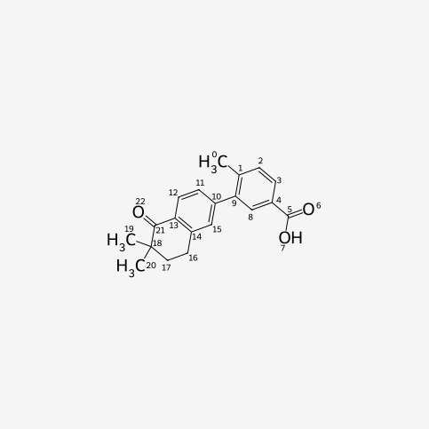 Cc1ccc(C(=O)O)cc1-c1ccc2c(c1)CCC(C)(C)C2=O